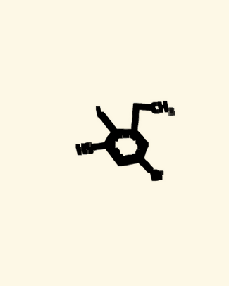 CCc1cc(Br)cc(S)c1I